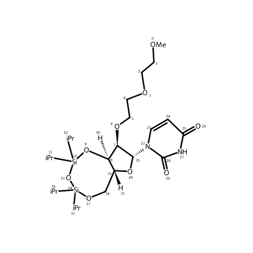 COCCOCCO[C@@H]1[C@@H]2O[Si](C(C)C)(C(C)C)O[Si](C(C)C)(C(C)C)OC[C@H]2O[C@H]1n1ccc(=O)[nH]c1=O